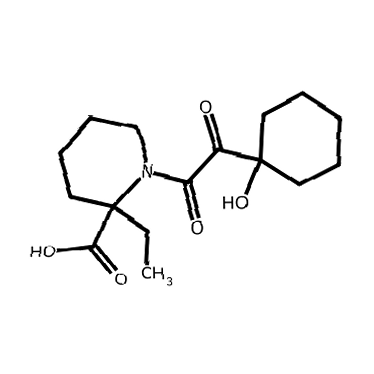 CCC1(C(=O)O)CCCCN1C(=O)C(=O)C1(O)CCCCC1